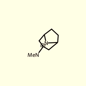 CNC1CC2CCC(C1)N2C(C)C